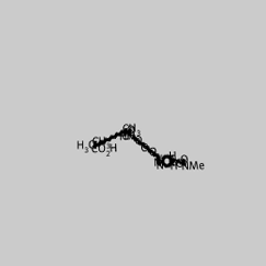 CNC(=O)OC[C@@H]1[C@@H]2CCc3nnn(CCOCCOCCOCCNC(=O)C(C)(C)CCCCCCCCCCC(C)(C)C(=O)O)c3CC[C@@H]21